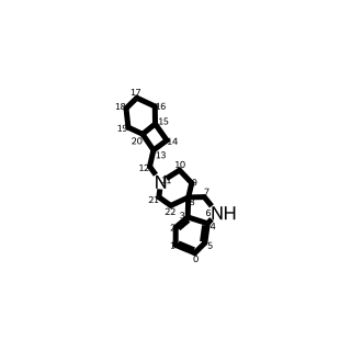 c1ccc2c(c1)NCC21CCN(CC2CC3CCCCC32)CC1